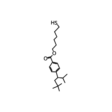 CC(C)C(CC(C)(C)C)c1ccc(C(=O)OCCCCCCS)cc1